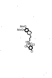 COc1cc2c(cc1OC)CN(CCCNS(=O)(=O)c1c(Cl)cc(Cl)cc1Cl)CC2